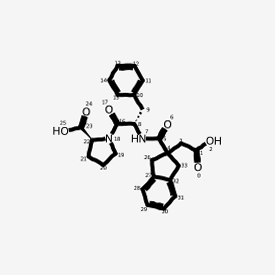 O=C(O)CC1(C(=O)N[C@@H](Cc2ccccc2)C(=O)N2CCC[C@H]2C(=O)O)Cc2ccccc2C1